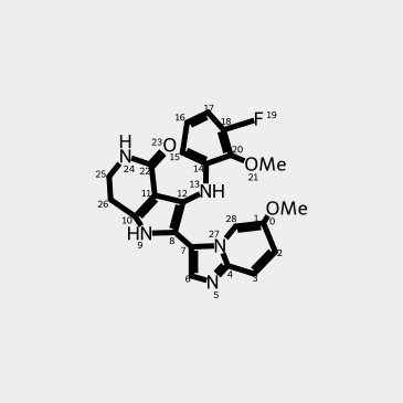 COc1ccc2ncc(-c3[nH]c4c(c3Nc3cccc(F)c3OC)C(=O)NCC4)n2c1